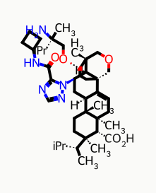 CC(C)[C@@H](C)[C@@]1(C)CC[C@]2(C)[C@H]3CC[C@@H]4[C@@]5(COC[C@@]4(C)[C@@H](OC[C@](C)(N)C(C)C)[C@H](n4ncnc4C(=O)NC4CCC4)C5)C3=CC[C@@]2(C)[C@@H]1C(=O)O